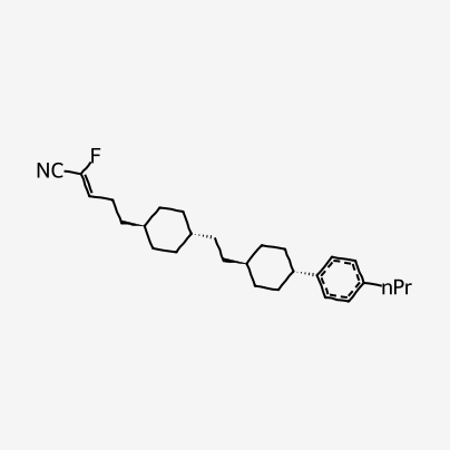 CCCc1ccc([C@H]2CC[C@H](CC[C@H]3CC[C@H](CC/C=C(\F)C#N)CC3)CC2)cc1